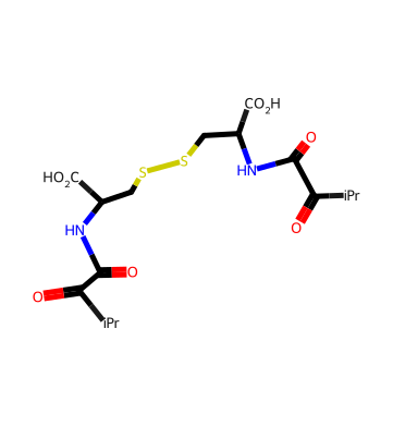 CC(C)C(=O)C(=O)NC(CSSCC(NC(=O)C(=O)C(C)C)C(=O)O)C(=O)O